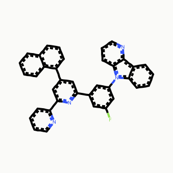 Fc1cc(-c2cc(-c3cccc4ccccc34)cc(-c3ccccn3)n2)cc(-n2c3ccccc3c3ncccc32)c1